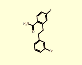 NC(=O)c1ccc(F)cc1CCc1cccc(Br)c1